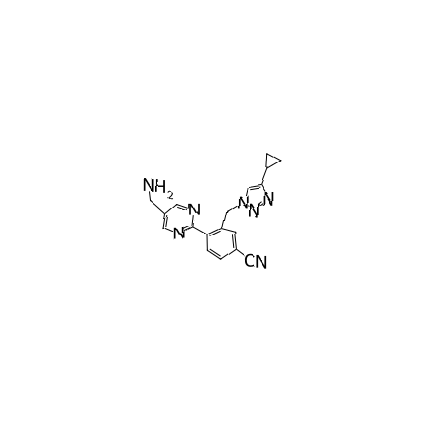 N#Cc1ccc(-c2ncc(CN)cn2)c(Cn2cc(C3CC3)nn2)c1